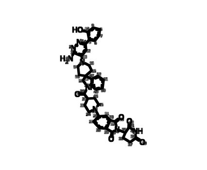 Nc1nnc(-c2ccccc2O)cc1N1CCC(CNC(=O)C2CCN(c3ccc4c(c3)C(=O)N(C3CCC(=O)NC3=O)C4=O)CC2)(c2ccccc2)CC1